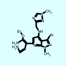 CCO/C(N)=C(/C=C\N)c1cc(NCc2ncn(C)n2)c2c(C(C)C)nn(C)c2n1